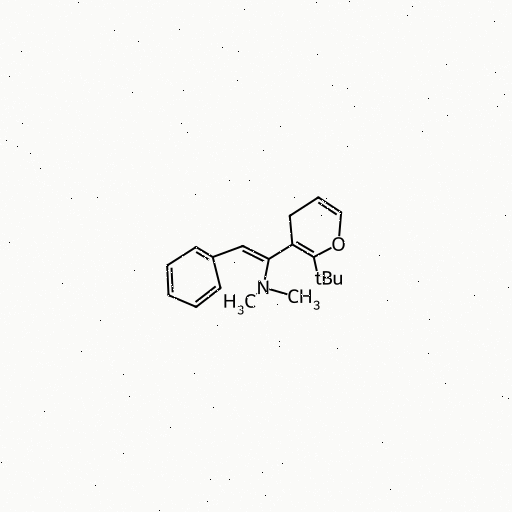 CN(C)C(=Cc1ccccc1)C1=C(C(C)(C)C)OC=CC1